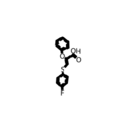 O=C(O)C(=CSc1ccc(F)cc1)Oc1ccccc1